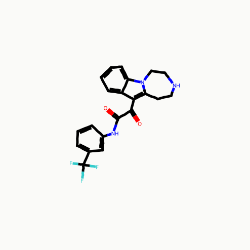 O=C(Nc1cccc(C(F)(F)F)c1)C(=O)c1c2n(c3ccccc13)CCNCC2